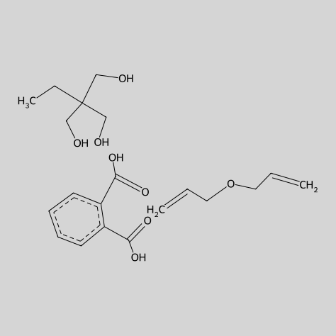 C=CCOCC=C.CCC(CO)(CO)CO.O=C(O)c1ccccc1C(=O)O